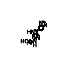 C[C@]1(O)C[C@H](Nc2ncc3c(-c4ccc5nccnc5c4)c[nH]c3n2)C1